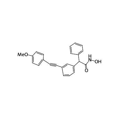 COc1ccc(C#Cc2cccc(C(C(=O)NO)c3ccccc3)c2)cc1